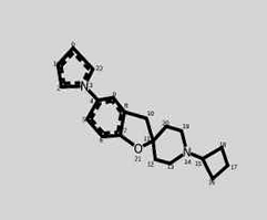 c1ccn(-c2ccc3c(c2)CC2(CCN(C4CCC4)CC2)O3)c1